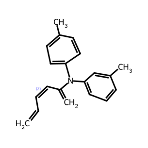 C=C/C=C\C(=C)N(c1ccc(C)cc1)c1cccc(C)c1